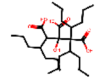 CCCC(CCC)C(C(=O)O)C(O)(C(=O)O)C(C(=O)O)(C(CCC)CCC)C(CCC)CCC